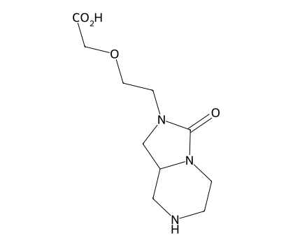 O=C(O)COCCN1CC2CNCCN2C1=O